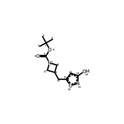 CC(C)(C)OC(=O)N1CC(Cc2cc(O)no2)C1